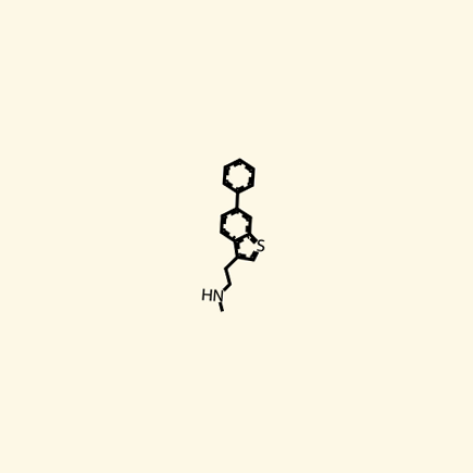 CNCCc1csc2cc(-c3ccccc3)ccc12